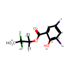 CCC(CC)(OC(=O)c1cc(I)cc(I)c1O)C(F)(F)C(=O)O